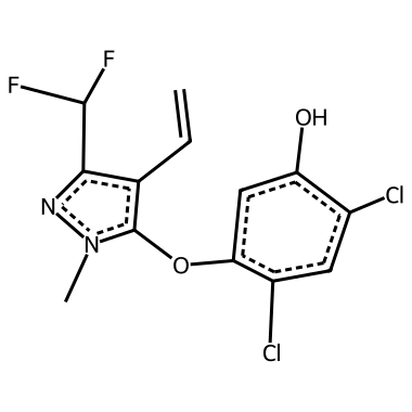 C=Cc1c(C(F)F)nn(C)c1Oc1cc(O)c(Cl)cc1Cl